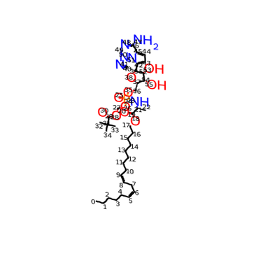 CCCCC/C=C\C/C=C\CCCCCCCCOC(=O)[C@H](C)NP(=O)(OCOC(=O)C(C)(C)C)OC[C@H]1O[C@@](C#N)(c2ccc3c(N)ncnn23)[C@H](O)[C@@H]1O